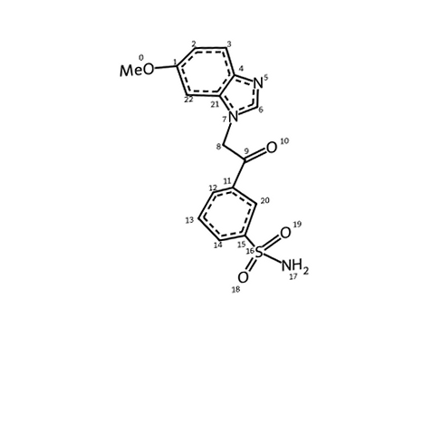 COc1ccc2ncn(CC(=O)c3cccc(S(N)(=O)=O)c3)c2c1